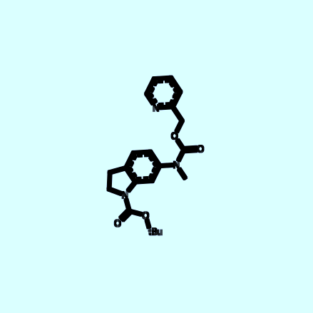 CN(C(=O)OCc1ccccn1)c1ccc2c(c1)N(C(=O)OC(C)(C)C)CC2